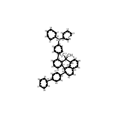 CC1(C)c2c(-c3ccc(N(c4ccccc4)c4ccccc4)cc3)cccc2-c2c(-c3ccc(-c4ccccc4)cc3)ccc3cccc1c23